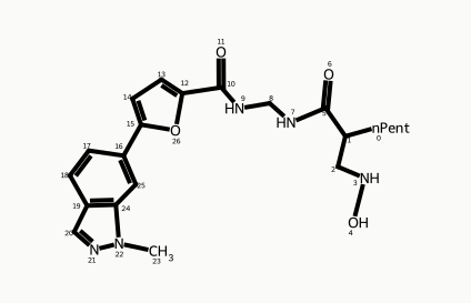 CCCCCC(CNO)C(=O)NCNC(=O)c1ccc(-c2ccc3cnn(C)c3c2)o1